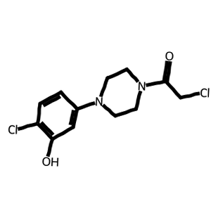 O=C(CCl)N1CCN(c2ccc(Cl)c(O)c2)CC1